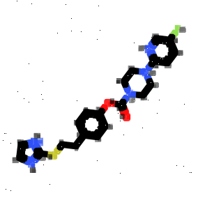 O=C(Oc1ccc(CCSc2ncc[nH]2)cc1)N1CCN(c2ccc(F)cn2)CC1